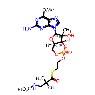 CCOC(=O)NCC(C)(C)C(=O)SCCO[P@]1(=O)OC[C@H]2O[C@@H](n3cnc4c(OC)nc(N)nc43)[C@](C)(O)[C@@H]2O1